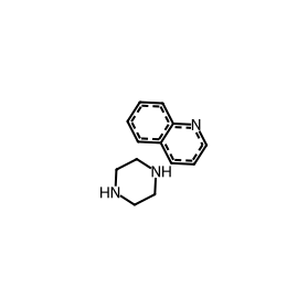 C1CNCCN1.c1ccc2ncccc2c1